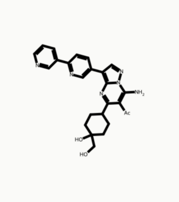 CC(=O)c1c(C2CCC(O)(CO)CC2)nc2c(-c3ccc(-c4cccnc4)nc3)cnn2c1N